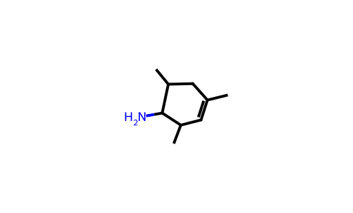 CC1=CC(C)C(N)C(C)C1